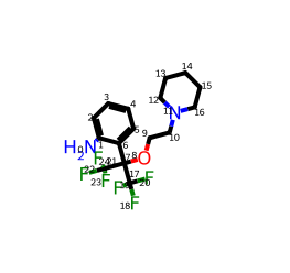 Nc1ccccc1C(OCCN1CCCCC1)(C(F)(F)F)C(F)(F)F